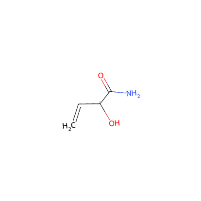 C=C[C](O)C(N)=O